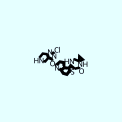 O=C1NC2(CC2)CNc2c1sc1ccc3nc(Oc4nc(Cl)nc5c4CNCC5)ccc3c21